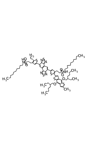 CCCCCCCCCCNS(=O)(=O)CCc1cc(-c2cc3c(cc(-c4cc(CCS(=O)(=O)NCCCCCCCCCC)c(-c5cc6c(OCC(CC)CCCC)c7sc(C)cc7c(OCC(CC)CCCC)c6s5)s4)c4nsnc43)c3nsnc23)sc1C